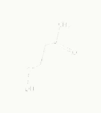 CC(=O)CCOO